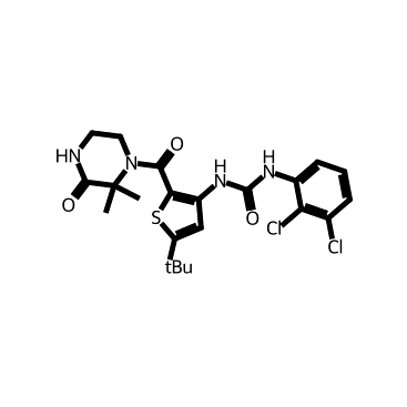 CC(C)(C)c1cc(NC(=O)Nc2cccc(Cl)c2Cl)c(C(=O)N2CCNC(=O)C2(C)C)s1